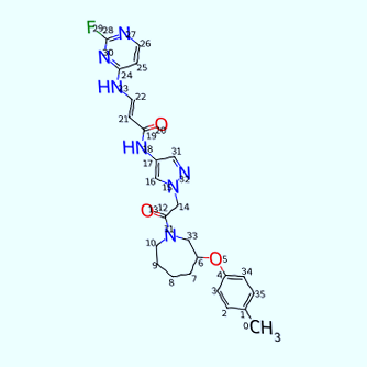 Cc1ccc(OC2CCCCN(C(=O)Cn3cc(NC(=O)C=CNc4ccnc(F)n4)cn3)C2)cc1